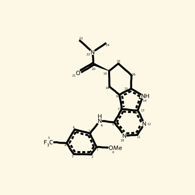 COc1ccc(C(F)(F)F)cc1Nc1ncnc2[nH]c3c(c12)C[C@@H](C(=O)N(C)C)CC3